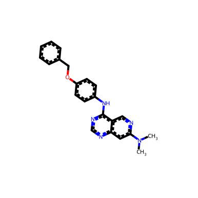 CN(C)c1cc2ncnc(Nc3ccc(OCc4ccccc4)cc3)c2cn1